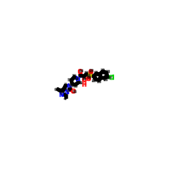 Cc1nc(C)n2c1CN(C1CCN(C(=O)[C@H](O)CS(=O)(=O)c3ccc4cc(Cl)ccc4c3)CC1)C2=O